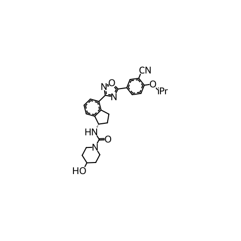 CC(C)Oc1ccc(-c2nc(-c3cccc4c3CC[C@@H]4NC(=O)N3CCC(O)CC3)no2)cc1C#N